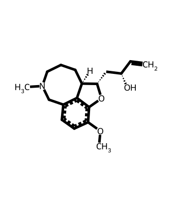 C=C[C@H](O)C[C@@H]1Oc2c(OC)ccc3c2[C@H]1CCCN(C)C3